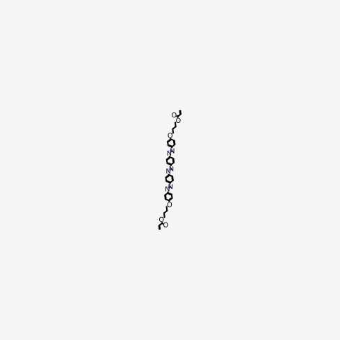 C=CC(=O)OCCCCOc1ccc(/N=N/c2ccc(/N=N/c3ccc(/N=N/c4ccc(OCCCCOC(=O)C=C)cc4)cc3)cc2)cc1